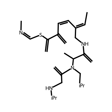 C=C(/C=C\C(=C/C)CNC(=C)C(C)N(CC(C)C)C(=C)CNC(C)C)C(=C)S/C=N\C